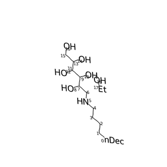 CCCCCCCCCCCCCCNCC(O)C(O)C(O)C(O)CO.CCO